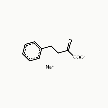 O=C([O-])C(=O)CCc1ccccc1.[Na+]